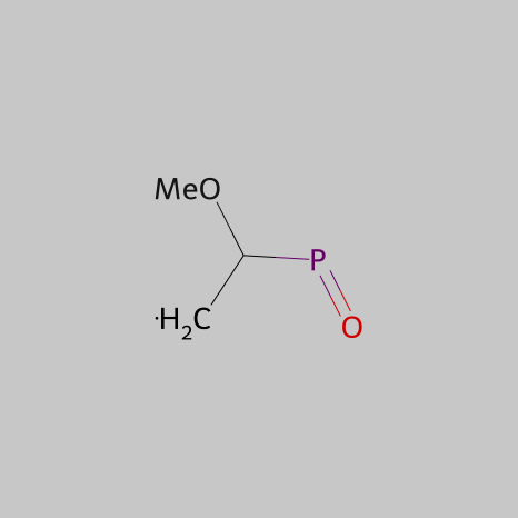 [CH2]C(OC)P=O